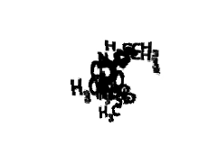 CCSC(=O)OC(C)O/C(=C(\c1ccc(C(C)(C)C)cc1)C1C=N1)c1c(Cl)c(C)nn1C